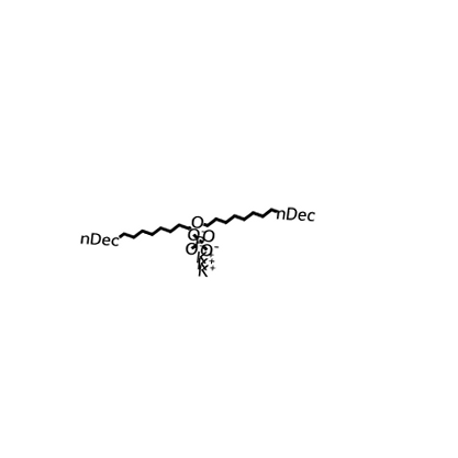 CCCCCCCCCCCCCCCCCCOCCCCCCCCCCCCCCCCCC.O=P([O-])([O-])[O-].[K+].[K+].[K+]